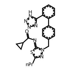 CCCc1nn(Cc2ccc(-c3ccccc3-c3nnn[nH]3)cc2)c(=NC(=O)C2CC2)s1